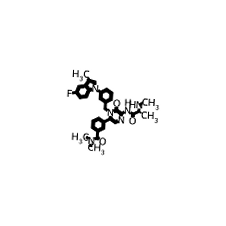 CN[C@@H](C)C(=O)Nc1ncc(-c2cccc(C(=O)N(C)C)c2)n(Cc2cccc(-n3cc(C)c4cc(F)ccc43)c2)c1=O